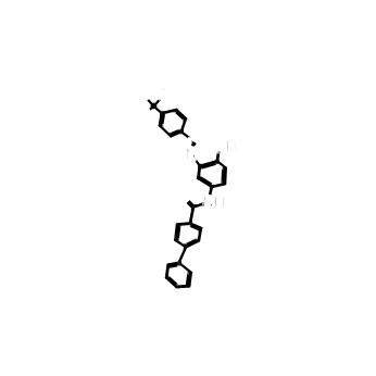 O=C(Nc1ccc(O)c(NSc2ccc(C(F)(F)F)cc2)c1)c1ccc(-c2ccccc2)cc1